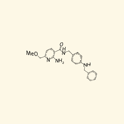 COCc1ccc(C(=O)NCc2ccc(NCc3ccccc3)cc2)c(N)n1